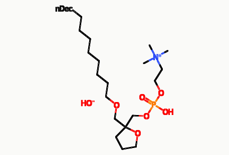 CCCCCCCCCCCCCCCCCCOCC1(COP(=O)(O)OCC[N+](C)(C)C)CCCO1.[OH-]